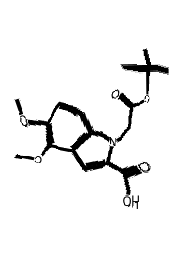 COc1ccc2c(cc(C(=O)O)n2CC(=O)OC(C)(C)C)c1OC